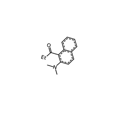 CCC(=O)c1c(N(C)C)ccc2ccccc12